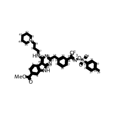 COC(=O)c1ccc2c(c1)[nH]c1nc(Cc3cccc(/C(=N/OS(=O)(=O)c4ccc(C)cc4)C(F)(F)F)c3)nc(NCCCN3CCCCC3)c12